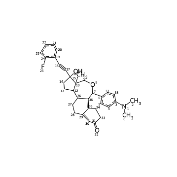 CN(C)c1ccc(C2OCC3(C)C(CCC3(O)C#Cc3ccccc3F)C3CCC4=CC(=O)CCC4=C23)cc1